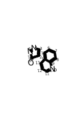 O=C1C=CN=N1.c1ccc2ncccc2c1